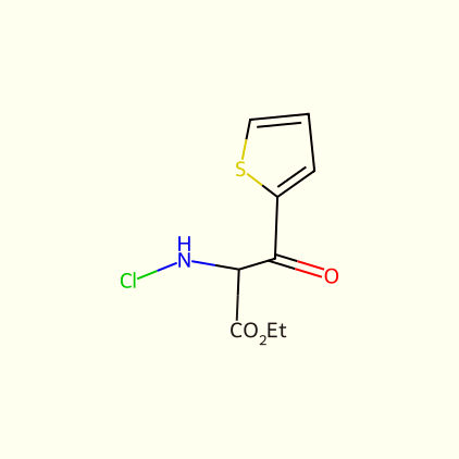 CCOC(=O)C(NCl)C(=O)c1cccs1